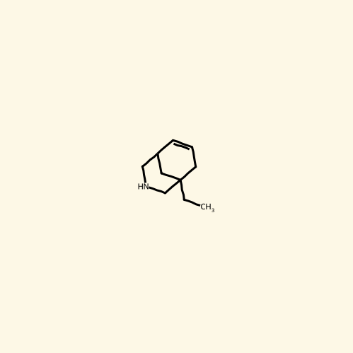 CCC12CC=CC(CNC1)C2